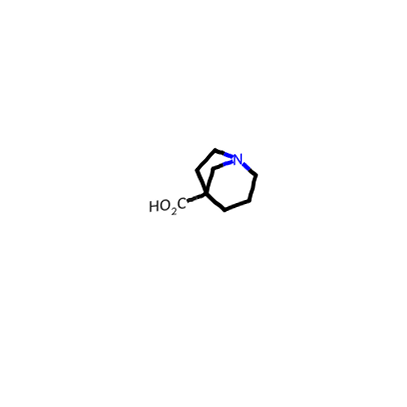 O=C(O)C12CCCN(CC1)C2